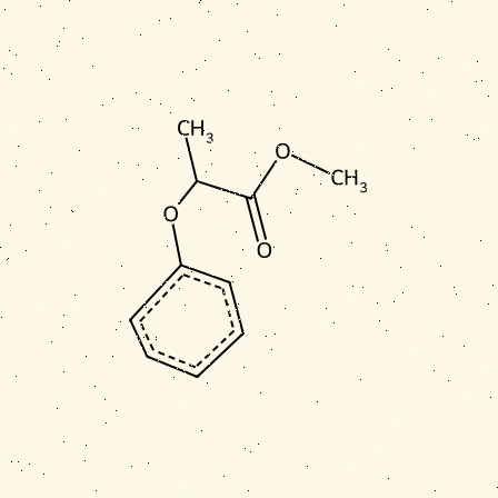 COC(=O)C(C)Oc1ccccc1